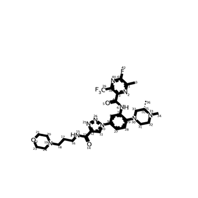 Cc1nc(C(=O)Nc2cc(-n3cc(C(=O)NCCCN4CCOCC4)nn3)ccc2N2CCN(C)[C@@H](C)C2)c(C(F)(F)F)nc1F